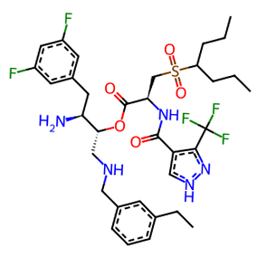 CCCC(CCC)S(=O)(=O)C[C@@H](NC(=O)c1c[nH]nc1C(F)(F)F)C(=O)O[C@H](CNCc1cccc(CC)c1)[C@@H](N)Cc1cc(F)cc(F)c1